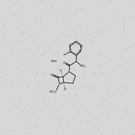 NC(C(=O)N1CC[C@@H]2[C@H]1C(=O)N2S(=O)(=O)O)c1ccccc1F.[NaH]